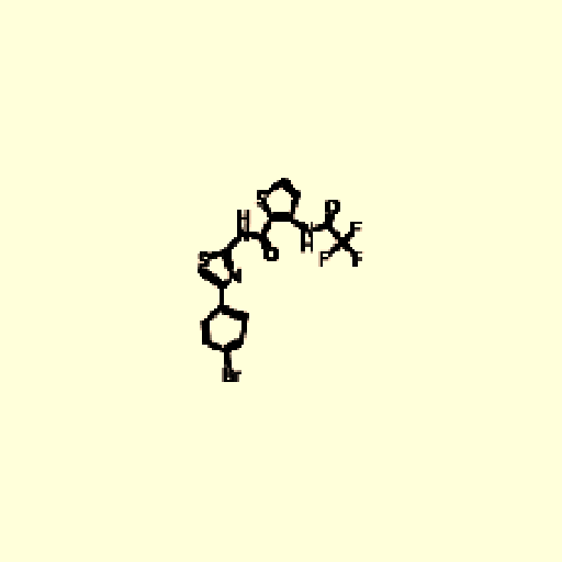 O=C(Nc1nc(-c2ccc(Br)cc2)cs1)c1sccc1NC(=O)C(F)(F)F